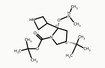 C[SiH](C)O[C@]1(C2CNC2)C[C@H](C(C)(C)C)CN1C(=O)OC(C)(C)C